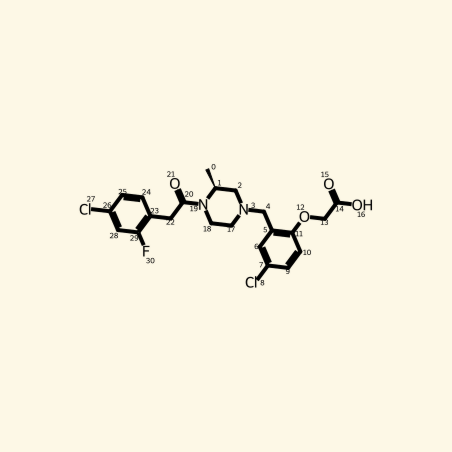 C[C@H]1CN(Cc2cc(Cl)ccc2OCC(=O)O)CCN1C(=O)Cc1ccc(Cl)cc1F